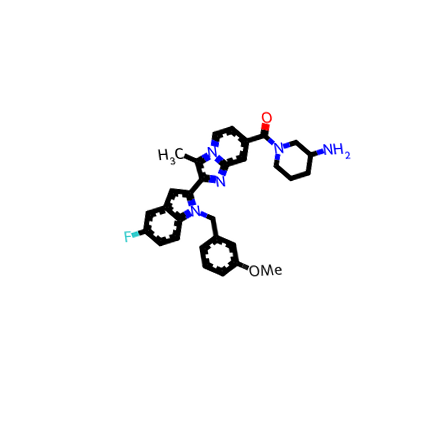 COc1cccc(Cn2c(-c3nc4cc(C(=O)N5CCCC(N)C5)ccn4c3C)cc3cc(F)ccc32)c1